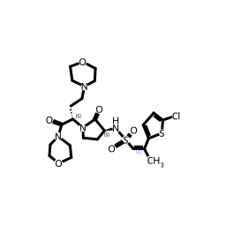 C/C(=C/S(=O)(=O)N[C@H]1CCN([C@@H](CCN2CCOCC2)C(=O)N2CCOCC2)C1=O)c1ccc(Cl)s1